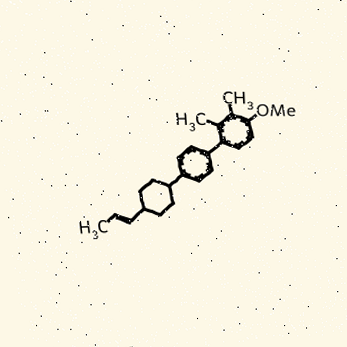 C/C=C/C1CCC(c2ccc(-c3ccc(OC)c(C)c3C)cc2)CC1